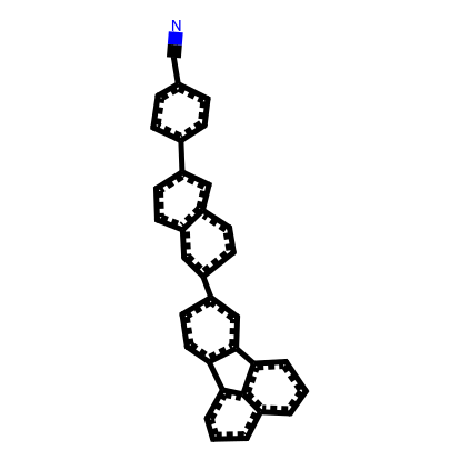 N#Cc1ccc(-c2ccc3cc(-c4ccc5c(c4)-c4cccc6cccc-5c46)ccc3c2)cc1